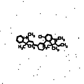 C=CC1=[N+](C)c2ccc(Cl)c(C3=CC(=CC=C4N(C)c5ccccc5C4(C)C)CCC3)c2C1(C)C